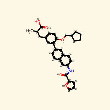 CC(Cc1ccc(OCC2CCCC2)c(-c2ccc3cc(NC(=O)c4ccco4)ccc3c2)c1)C(=O)O